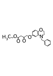 CCOC(=O)CC(=O)COc1ccc2c(c1)N(Cc1ccccc1)CCO2